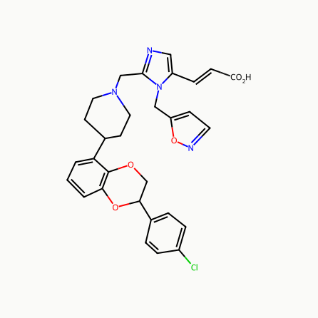 O=C(O)/C=C/c1cnc(CN2CCC(c3cccc4c3OCC(c3ccc(Cl)cc3)O4)CC2)n1Cc1ccno1